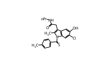 CCCNC(=O)Cc1c(C)n(C(=S)c2ccc(C)cc2)c2cc(Cl)c(O)cc12